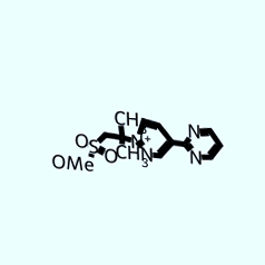 COS(=O)(=O)CC(C)(C)[n+]1ccc(-c2ncccn2)cn1